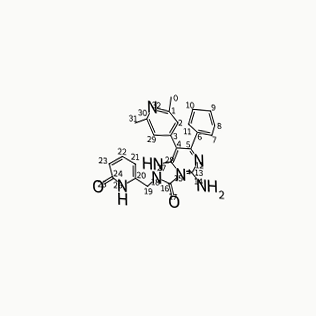 Cc1cc(-c2c(-c3ccccc3)nc(N)[n+]3c(=O)n(Cc4cccc(=O)[nH]4)[nH]c23)cc(C)n1